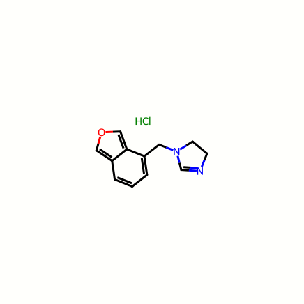 C1=NCCN1Cc1cccc2cocc12.Cl